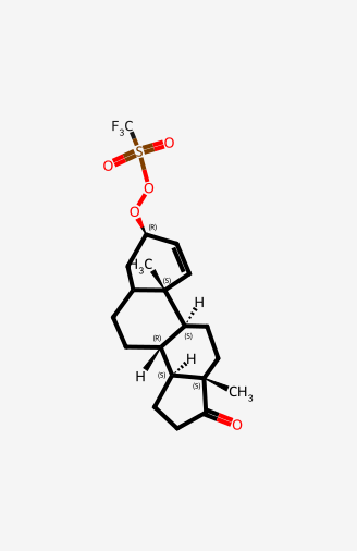 C[C@]12C=C[C@H](OOS(=O)(=O)C(F)(F)F)CC1CC[C@@H]1[C@@H]2CC[C@]2(C)C(=O)CC[C@@H]12